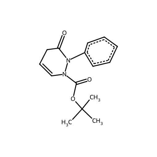 CC(C)(C)OC(=O)N1C=CCC(=O)N1c1ccccc1